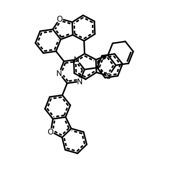 C1=Cc2sc3cccc(-c4cccc5oc6cccc(-c7nc(-c8ccccc8)nc(-c8ccc9oc%10ccccc%10c9c8)n7)c6c45)c3c2CC1